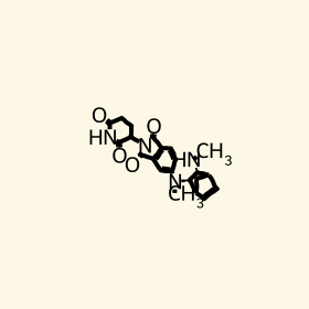 CN[C@@H]1C2C=CC(C2)[C@H]1N(C)c1ccc2c(c1)C(=O)N(C1CCC(=O)NC1=O)C2=O